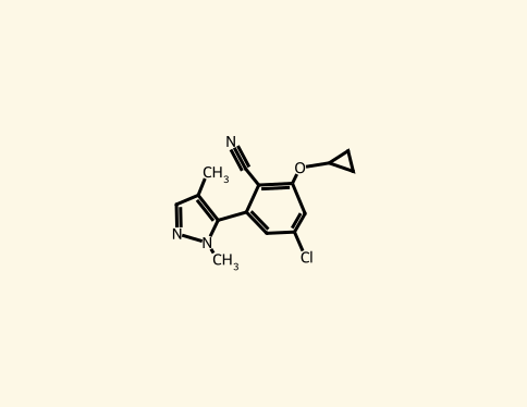 Cc1cnn(C)c1-c1cc(Cl)cc(OC2CC2)c1C#N